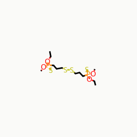 CCOP(=S)(CCCSSCCCP(=S)(OC)OCC)OC